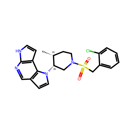 C[C@@H]1CCN(S(=O)(=O)Cc2ccccc2Cl)C[C@@H]1n1ccc2cnc3[nH]ccc3c21